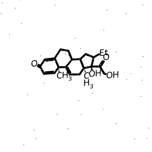 CCC1CC2C3CCC4=CC(=O)C=C[C@]4(C)C3=CC[C@]2(C)[C@@]1(O)C(=O)CO